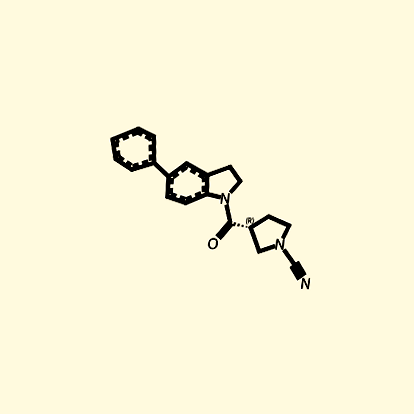 N#CN1CC[C@@H](C(=O)N2CCc3cc(-c4ccccc4)ccc32)C1